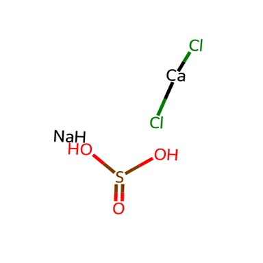 O=S(O)O.[Cl][Ca][Cl].[NaH]